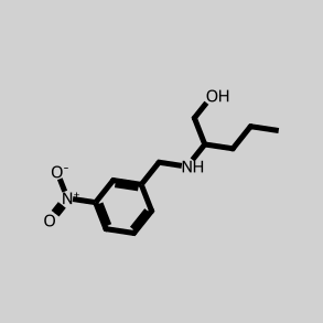 CCCC(CO)NCc1cccc([N+](=O)[O-])c1